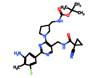 Cc1c(N)cc(-c2ncc(CNC(=O)C3(C#N)CC3)c(N3CCC(CNC(=O)OC(C)(C)C)C3)n2)cc1F